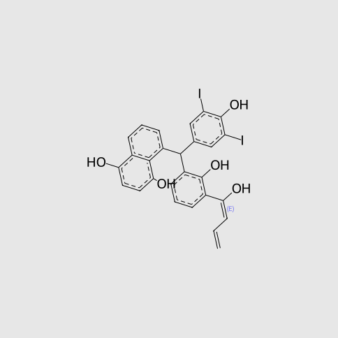 C=C/C=C(/O)c1cccc(C(c2cc(I)c(O)c(I)c2)c2cccc3c(O)ccc(O)c23)c1O